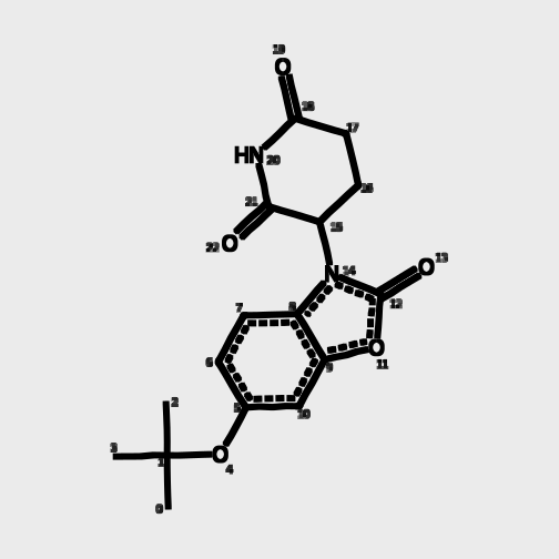 CC(C)(C)Oc1ccc2c(c1)oc(=O)n2C1CCC(=O)NC1=O